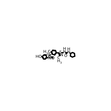 Cc1ccc(-c2sc(NC(=O)NC3CCCCC3)nc2C)cc1S(=O)(=O)Nc1ccc(O)cc1